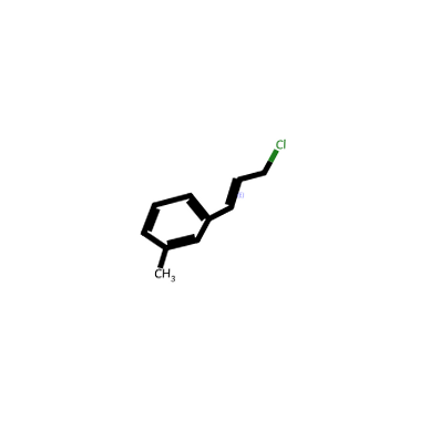 Cc1cccc(/C=C/CCl)c1